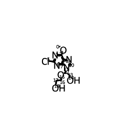 COc1nc(Cl)nc2c1ncn2[C@@H](CO)OCCO